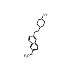 CCCC1CCC(CCc2ccc3cc(OC(F)(F)F)ccc3c2)CC1